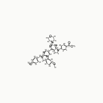 COC(=O)c1ccc(N2CCc3c(-c4cnc(N(Cc5ccc(OC)cc5)Cc5ccc(OC)cc5)nc4)nc(N4CCOCC4)nc32)cc1